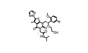 COc1ccc(F)cc1[C@H](Cn1c(=O)n([C@@H](C)C(=O)NC(C)C)c(=O)c2c(C)c(-n3nccn3)sc21)OCCO